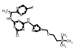 C[C@H](Nc1nc(Cl)nc(Nc2cn(COCC[Si](C)(C)C)cn2)n1)c1ncc(F)cn1